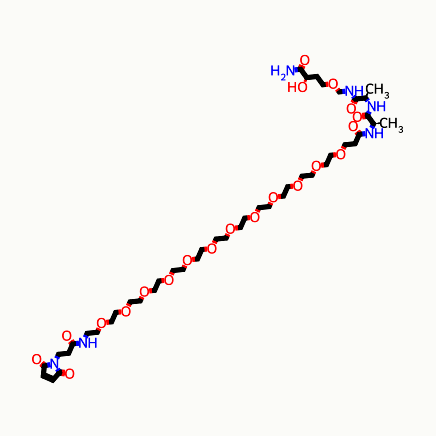 C[C@H](NC(=O)CCOCCOCCOCCOCCOCCOCCOCCOCCOCCOCCOCCOCCNC(=O)CCN1C(=O)C=CC1=O)C(=O)N[C@@H](C)C(=O)NCOCC[C@@H](O)C(N)=O